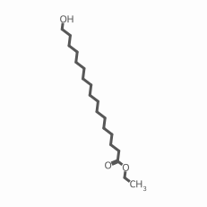 CCOC(=O)CCCCCCCCCCCCCCCCO